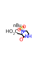 CCCCS(=O)(=O)N1CCNC(=O)C1CC(=O)O